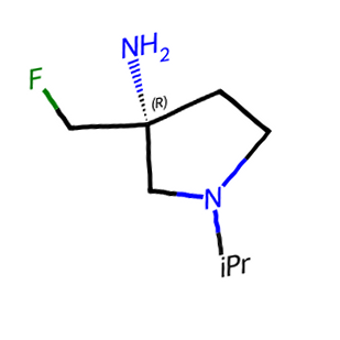 CC(C)N1CC[C@](N)(CF)C1